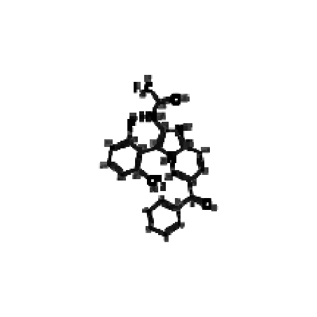 O=C(c1ccccc1)c1ccc2nc(NC(=O)C(F)(F)F)c(-c3c(F)cccc3C(F)(F)F)n2c1